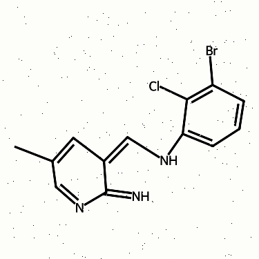 CC1=C/C(=C/Nc2cccc(Br)c2Cl)C(=N)N=C1